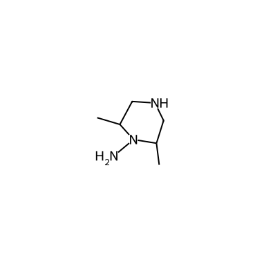 CC1CNCC(C)N1N